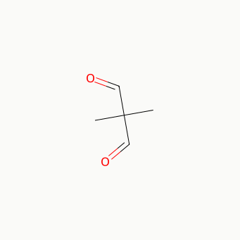 CC(C)(C=O)C=O